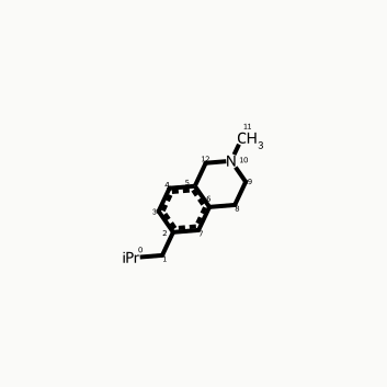 CC(C)Cc1ccc2c(c1)CCN(C)C2